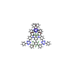 Fc1c(F)c(F)c(-c2cc(-n3c4cc(-c5nc(-c6ccccc6)nc(-c6ccccc6)n5)ccc4c4ccc(-c5nc(-c6ccccc6)nc(-c6ccccc6)n5)cc43)c(C(F)(F)F)c(-n3c4cc(-c5nc(-c6ccccc6)nc(-c6ccccc6)n5)ccc4c4ccc(-c5nc(-c6ccccc6)nc(-c6ccccc6)n5)cc43)c2)c(F)c1F